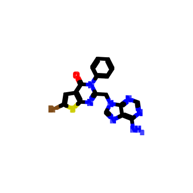 Nc1ncnc2c1ncn2Cc1nc2sc(Br)cc2c(=O)n1-c1ccccc1